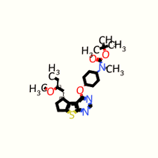 CC[C@@H](C[C@H]1CCc2sc3ncnc(O[C@H]4CC[C@H](N(C)C(=O)OC(C)(C)C)CC4)c3c21)OC